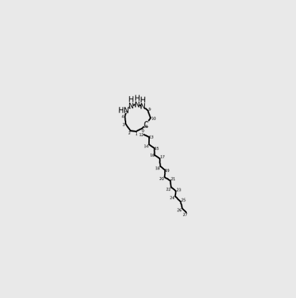 C1CCCCNNNNCCC1.CCCCCCCCCCCCCCCC